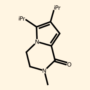 CC(C)c1cc2n(c1C(C)C)CCN(C)C2=O